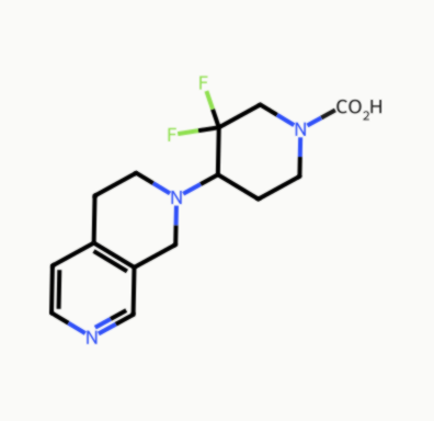 O=C(O)N1CCC(N2CCc3ccncc3C2)C(F)(F)C1